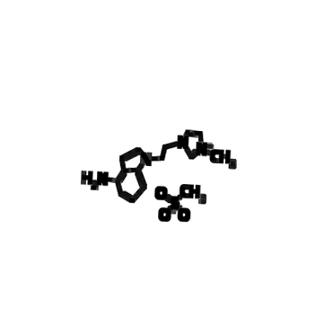 CS(=O)(=O)[O-].C[n+]1ccn(CCn2ccc3c(N)cccc32)c1